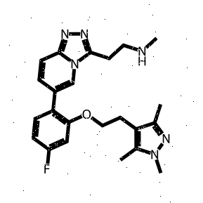 CNCCc1nnc2ccc(-c3ccc(F)cc3OCCc3c(C)nn(C)c3C)cn12